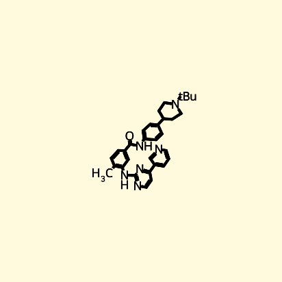 Cc1ccc(C(=O)Nc2ccc(C3CCN(C(C)(C)C)CC3)cc2)cc1Nc1nccc(-c2cccnc2)n1